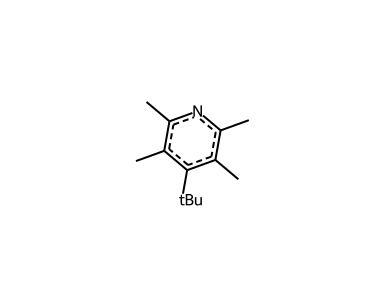 Cc1nc(C)c(C)c(C(C)(C)C)c1C